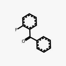 O=C(c1ccccc1)c1ccccc1F